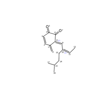 C=C1C=CC(=O)C(=O)/C1=C/C(=C\C)CCC(C)C